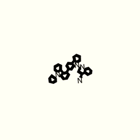 N#Cc1cc(-n2c3ccccc3c3ccc(-c4cccc5c4c4ccccc4n5-c4ccccc4)cc32)nc2ccccc12